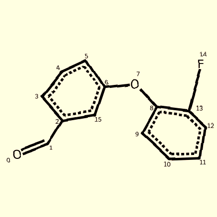 O=Cc1cccc(Oc2ccccc2F)c1